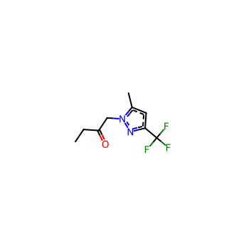 CCC(=O)Cn1nc(C(F)(F)F)cc1C